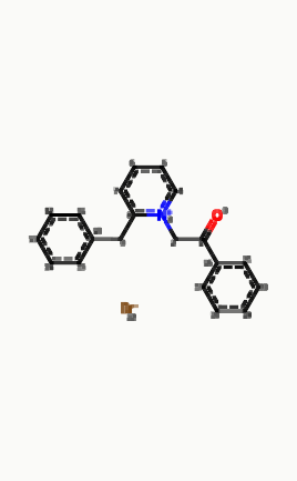 O=C(C[n+]1ccccc1Cc1ccccc1)c1ccccc1.[Br-]